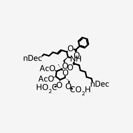 CCCCCCCCCCCCC/C=C/[C@@H](OC(=O)c1ccccc1)[C@H](CO[C@@]1(C)O[C@H](COC(=O)O)[C@H](OC(=O)O)[C@H](OC(C)=O)[C@H]1OC(C)=O)NC(=O)CCCCCCCCCCCCCCC